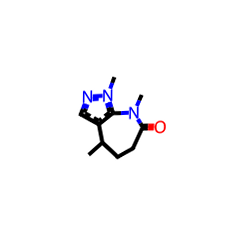 CC1CCC(=O)N(C)c2c1cnn2C